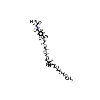 COCCOCCOCCn1cc(COCCOCCOCCNC(=O)c2ccc(C(=O)/C=C/C(N)=O)cc2)nn1